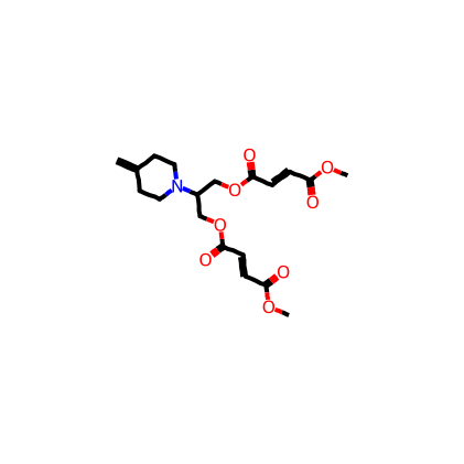 C=C1CCN(C(COC(=O)/C=C/C(=O)OC)COC(=O)/C=C/C(=O)OC)CC1